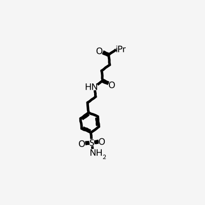 CC(C)C(=O)CCC(=O)NCCc1ccc(S(N)(=O)=O)cc1